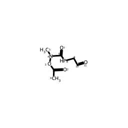 CC(=O)ON(C)C(=O)PCC=O